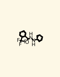 O=C(NNc1ccccc1)c1ccccc1C(F)(F)F